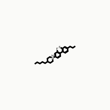 CCCCCC1CC[SiH](c2ccc(-c3ccc(CCC)cc3F)c(F)c2)CC1